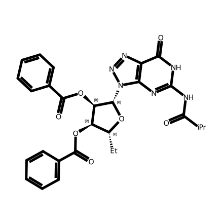 CC[C@H]1O[C@@H](n2nnc3c(=O)[nH]c(NC(=O)C(C)C)nc32)[C@H](OC(=O)c2ccccc2)[C@@H]1OC(=O)c1ccccc1